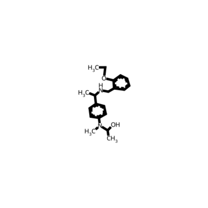 CCOc1ccccc1CNC(C)c1ccc(N(C)C(C)O)cc1